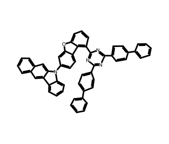 c1ccc(-c2ccc(-c3nc(-c4ccc(-c5ccccc5)cc4)nc(-c4cccc5oc6cc(-n7c8ccccc8c8cc9ccccc9cc87)ccc6c45)n3)cc2)cc1